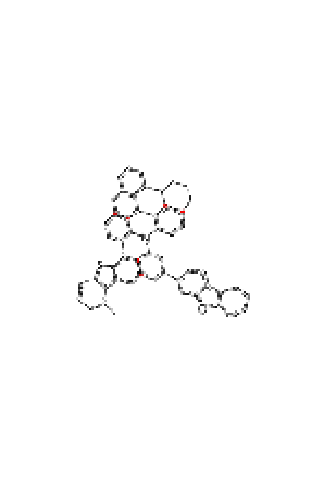 CC1CC=Cc2sc3c(-c4ccccc4N(c4cccc(-c5ccc6c(c5)oc5ccccc56)c4)c4ccccc4-c4cccc5cccc(C6CCCCC6)c45)cccc3c21